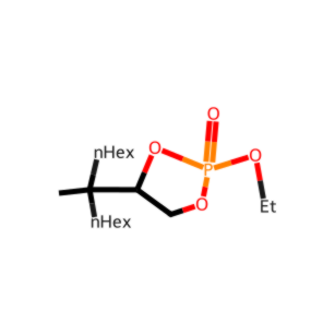 CCCCCCC(C)(CCCCCC)C1COP(=O)(OCC)O1